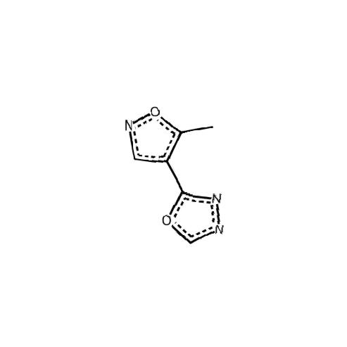 Cc1oncc1-c1nnco1